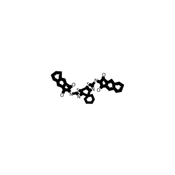 O=c1c(=Nc2nc3c(s2)-c2sc(N=c4c(=O)c5cc6ccccc6cc5c4=O)nc2C32CCCCC2)c(=O)c2cc3ccccc3cc12